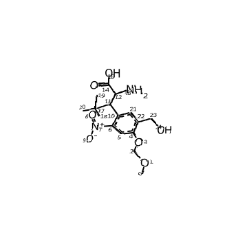 COCOc1cc([N+](=O)[O-])c(C(C(N)C(=O)O)C(C)(C)C)cc1CO